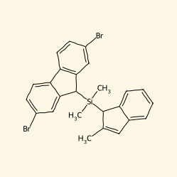 CC1=Cc2ccccc2C1[Si](C)(C)C1c2cc(Br)ccc2-c2ccc(Br)cc21